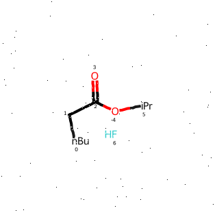 CCCCCC(=O)OC(C)C.F